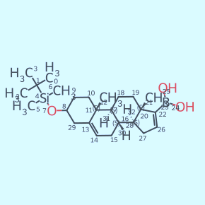 CC(C)(C)[Si](C)(C)OC1CC[C@@]2(C)C(=CC[C@@H]3[C@@H]2CC[C@]2(C)C(B(O)O)=CC[C@@H]32)C1